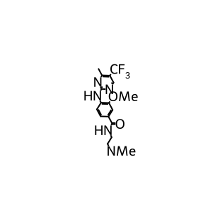 CNCCNC(=O)c1ccc(Nc2ncc(C(F)(F)F)c(C)n2)c(OC)c1